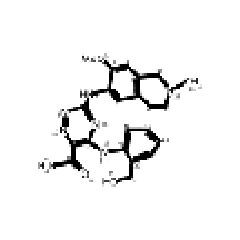 COc1cc2c(cc1Nc1nnc(C(N)=O)c(Nc3ccccc3CO)n1)CCN(C)C2